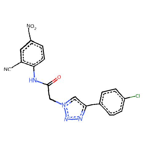 N#Cc1cc([N+](=O)[O-])ccc1NC(=O)Cn1cc(-c2ccc(Cl)cc2)nn1